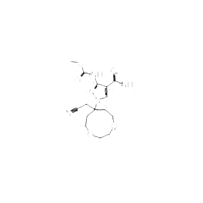 COC(=O)Nc1nn(C2(CC#N)CCOCCOCC2)cc1C(N)=O